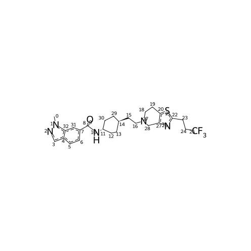 Cn1ncc2ccc(C(=O)N[C@H]3CC[C@H](CCN4CCc5sc(CCC(F)(F)F)nc5C4)CC3)cc21